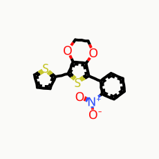 O=[N+]([O-])c1ccccc1-c1sc(-c2cccs2)c2c1OCCO2